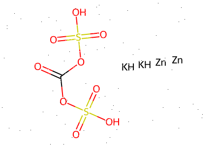 O=C(OS(=O)(=O)O)OS(=O)(=O)O.[KH].[KH].[Zn].[Zn]